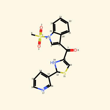 CS(=O)(=O)n1cc(C(=O)C2=CSC(c3cccnc3)N2)c2ccccc21